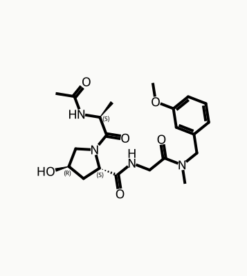 COc1cccc(CN(C)C(=O)CNC(=O)[C@@H]2C[C@@H](O)CN2C(=O)[C@H](C)NC(C)=O)c1